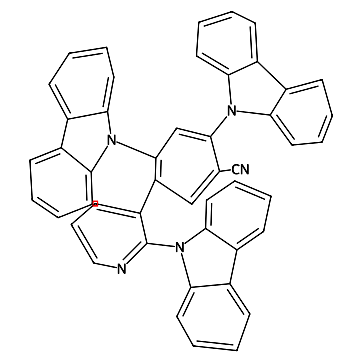 N#Cc1cc(-c2cccnc2-n2c3ccccc3c3ccccc32)c(-n2c3ccccc3c3ccccc32)cc1-n1c2ccccc2c2ccccc21